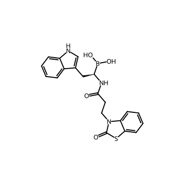 O=C(CCn1c(=O)sc2ccccc21)N[C@@H](Cc1c[nH]c2ccccc12)B(O)O